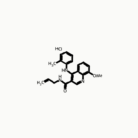 C=CCNC(=O)c1cnc2c(OC)cccc2c1Nc1ccccc1C.Cl